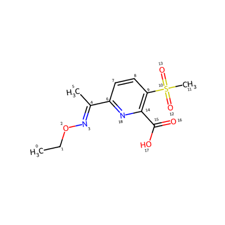 CCON=C(C)c1ccc(S(C)(=O)=O)c(C(=O)O)n1